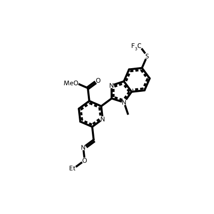 CCO/N=C/c1ccc(C(=O)OC)c(-c2nc3cc(SC(F)(F)F)ccc3n2C)n1